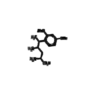 COc1ccc(C(C)C(C)CC(N)C(=O)O)c(OC)c1